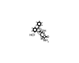 Cl.NC1C(=O)N2CC(O)(C(=O)OC(c3ccccc3)c3ccccc3)CS[C@H]12